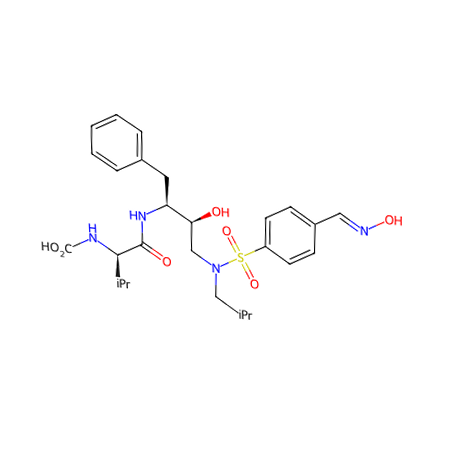 CC(C)CN(C[C@H](O)[C@H](Cc1ccccc1)NC(=O)[C@H](NC(=O)O)C(C)C)S(=O)(=O)c1ccc(C=NO)cc1